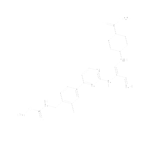 COC(=O)C1CCC(N/C=C(\C=N)Nc2nccc(-c3ccc(CNC(=O)OC(C)(C)C)c(C)c3)n2)CC1